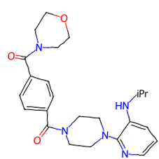 CC(C)Nc1cccnc1N1CCN(C(=O)c2ccc(C(=O)N3CCOCC3)cc2)CC1